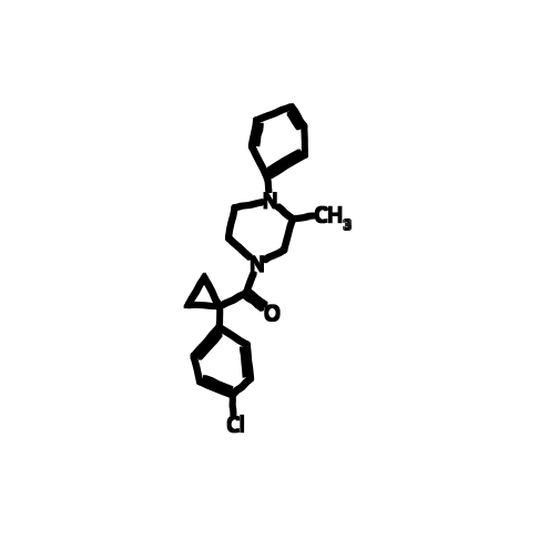 CC1CN(C(=O)C2(c3ccc(Cl)cc3)CC2)CCN1c1ccccc1